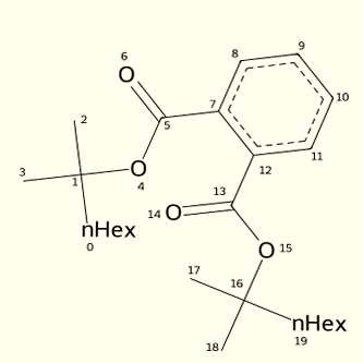 CCCCCCC(C)(C)OC(=O)c1ccccc1C(=O)OC(C)(C)CCCCCC